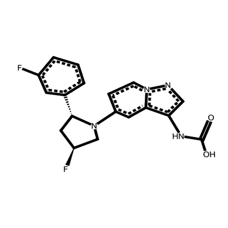 O=C(O)Nc1cnn2ccc(N3C[C@@H](F)C[C@@H]3c3cccc(F)c3)cc12